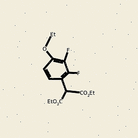 CCOC(=O)C(C(=O)OCC)c1ccc(OCC)c(F)c1F